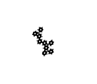 c1ccc(-n2c3ccccc3c3cc(-c4cccc(-c5ccc6c(c5)c5cc7c8ccccc8n(-c8ccccc8)c7cc5n6-c5ccccc5)c4)ccc32)cc1